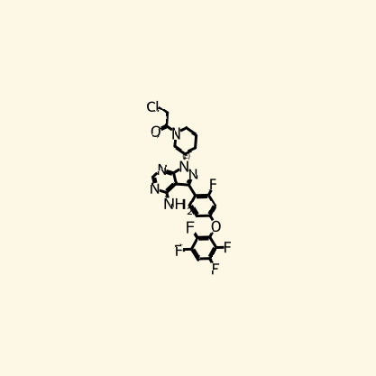 Nc1ncnc2c1c(-c1ccc(Oc3c(F)c(F)cc(F)c3F)cc1F)nn2[C@H]1CCCN(C(=O)CCl)C1